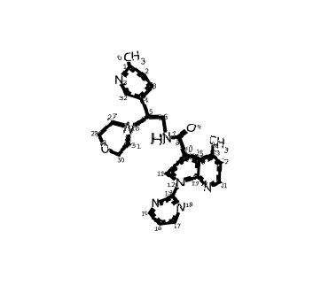 Cc1ccc(C(CNC(=O)c2cn(-c3ncccn3)c3nccc(C)c23)N2CCOCC2)cn1